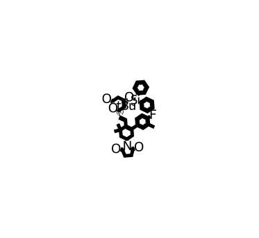 Cc1cc(C2=C(C=C[C@H]3C[C@H](O[Si](c4ccccc4)(c4ccccc4)C(C)(C)C)CC(=O)O3)C(C)(C)CC(N3C(=O)CCC3=O)C2)ccc1F